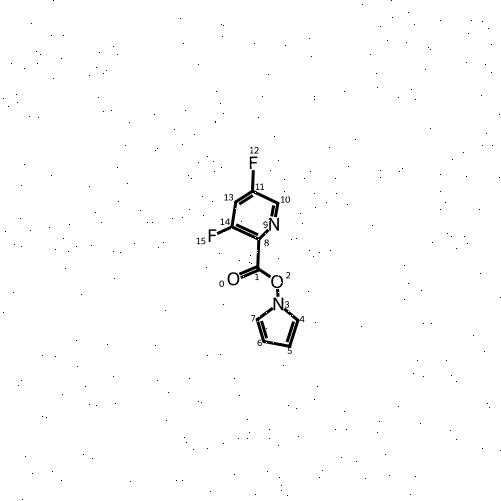 O=C(On1cccc1)c1ncc(F)cc1F